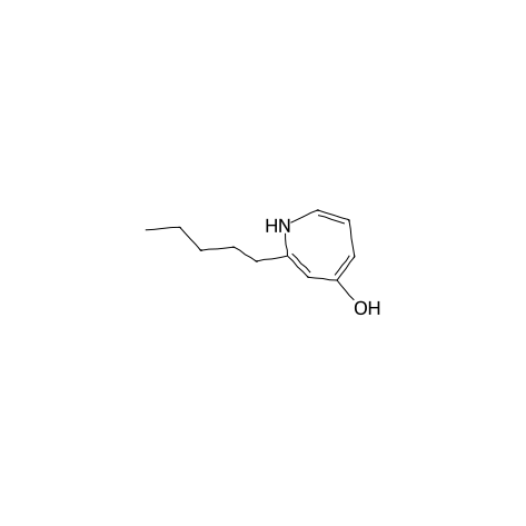 CCCCCC1=CC(O)=CC=CN1